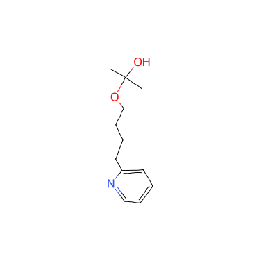 CC(C)(O)OCCCCc1ccccn1